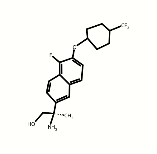 C[C@](N)(CO)c1ccc2c(F)c(OC3CCC(C(F)(F)F)CC3)ccc2c1